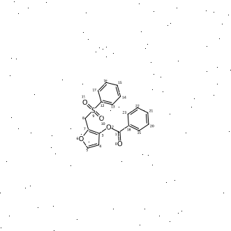 O=C(Oc1ccoc1CS(=O)(=O)c1ccccc1)c1ccccc1